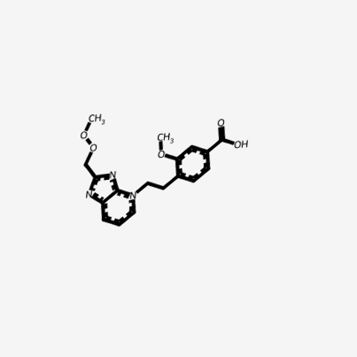 COOCc1nc2cccn(CCc3ccc(C(=O)O)cc3OC)c-2n1